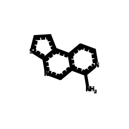 Nc1nccc2c1cnc1sccc12